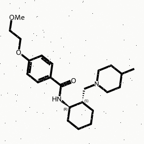 COCCOc1ccc(C(=O)N[C@@H]2CCCC[C@H]2CN2CCC(C)CC2)cc1